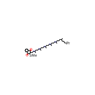 CSC1=C(C/C=C(\C)CC/C=C(\C)CC/C=C(\C)CC/C=C(\C)CC/C=C(\C)CCCC(C)CCCC(C)C)C(=O)c2ccccc2C1=O